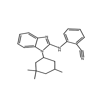 CC1CC(n2c(Nc3ccccc3C#N)nc3ccccc32)CC(C)(C)C1